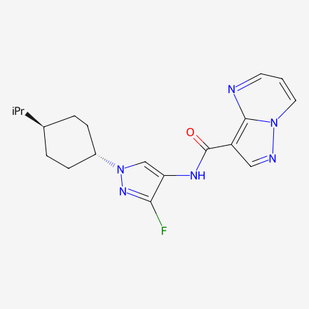 CC(C)[C@H]1CC[C@H](n2cc(NC(=O)c3cnn4cccnc34)c(F)n2)CC1